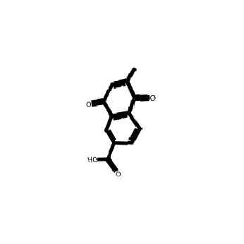 CC1=CC(=O)c2cc(C(=O)O)ccc2C1=O